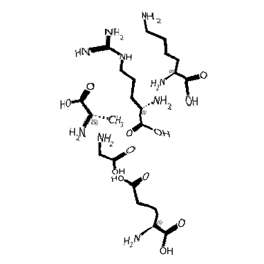 C[C@H](N)C(=O)O.N=C(N)NCCC[C@H](N)C(=O)O.NCC(=O)O.NCCCC[C@H](N)C(=O)O.N[C@@H](CCC(=O)O)C(=O)O